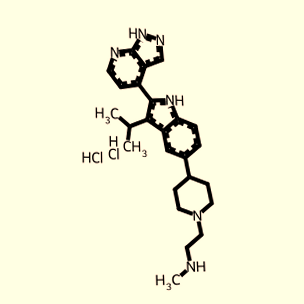 CNCCN1CCC(c2ccc3[nH]c(-c4ccnc5[nH]ncc45)c(C(C)C)c3c2)CC1.Cl.Cl